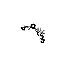 CC(C)CC(CNc1[c]ccc(SCc2ccco2)c1)NC(=O)OCC1CCCO1